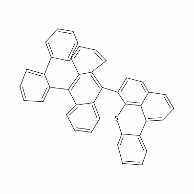 c1ccc(-c2ccccc2-c2c3ccccc3c(-c3ccc4cccc5c4c3Sc3ccccc3-5)c3ccccc23)cc1